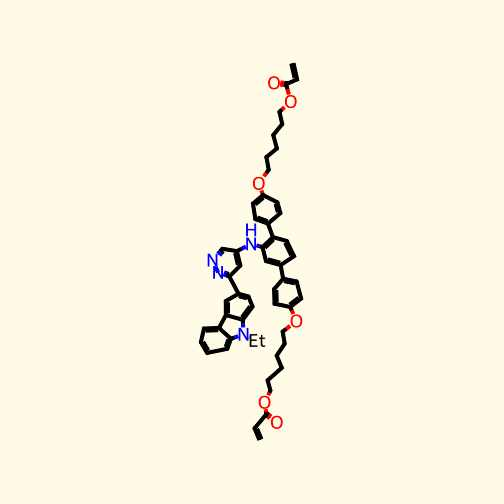 C=CC(=O)OCCCCCCOc1ccc(-c2ccc(-c3ccc(OCCCCCCOC(=O)C=C)cc3)c(Nc3cnnc(-c4ccc5c(c4)c4ccccc4n5CC)c3)c2)cc1